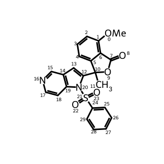 COc1cccc2c1C(=O)OC2(C)c1cc2cnccc2n1S(=O)(=O)c1ccccc1